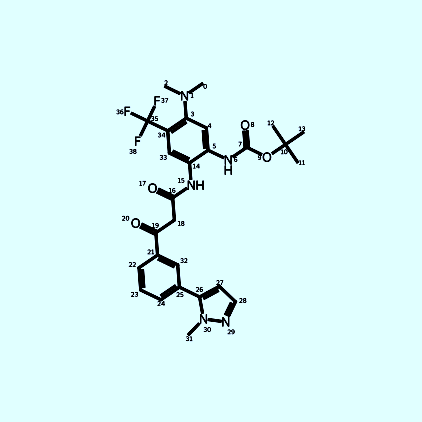 CN(C)c1cc(NC(=O)OC(C)(C)C)c(NC(=O)CC(=O)c2cccc(-c3ccnn3C)c2)cc1C(F)(F)F